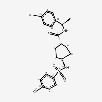 C[C@@H](NC(=O)[C@H]1CC[C@H](NS(=O)(=O)c2ccc(Cl)nc2)CC1)c1ccc(F)cc1